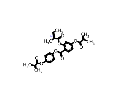 C=C(C)C(=O)Oc1ccc(OC(=O)c2ccc(OC(=O)C(=C)C)cc2OC(=O)/C(C)=C\C)cc1